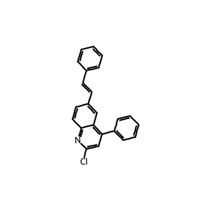 Clc1cc(-c2ccccc2)c2cc(/C=C/c3ccccc3)ccc2n1